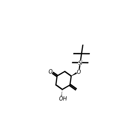 C=C1[C@H](O)CC(=O)C[C@H]1O[Si](C)(C)C(C)(C)C